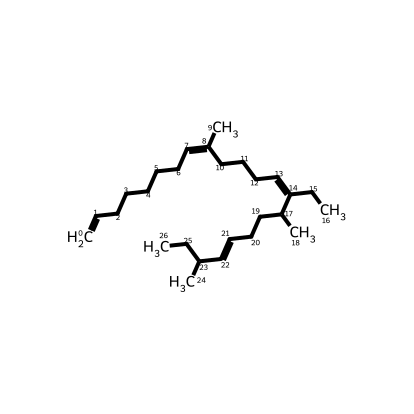 C=CCCCCCC=C(C)CCCC=C(CC)C(C)CCC=CC(C)CC